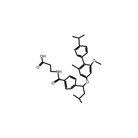 COc1cc(OC(CC(C)C)c2ccc(C(=O)NCCC(=O)O)cc2)cc(C)c1-c1ccc(C(C)C)cc1